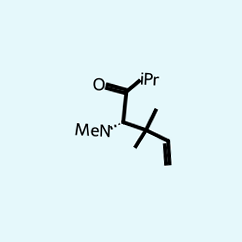 C=CC(C)(C)[C@H](NC)C(=O)C(C)C